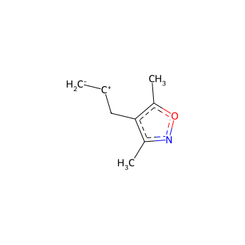 [CH2-][CH+]Cc1c(C)noc1C